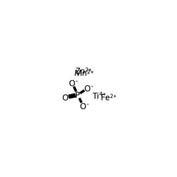 O=P([O-])([O-])[O-].[Fe+2].[Mn+2].[Ti+4].[Zn+2]